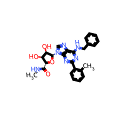 CNC(=O)[C@H]1O[C@@H](n2cnc3c(NCc4ccccc4)nc(-c4ccccc4C)nc32)[C@H](O)[C@@H]1O